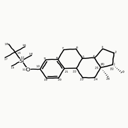 C[C@H]1CCC2C3CCc4cc(O[Si](C)(C)C(C)(C)C)ccc4C3CC[C@@]21C